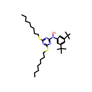 CCCCCCCCSc1nc(SCCCCCCCC)nc(N(O)c2cc(C(C)(C)C)cc(C(C)(C)C)c2)n1